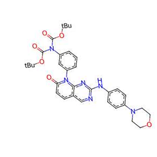 CC(C)(C)OC(=O)N(C(=O)OC(C)(C)C)c1cccc(-n2c(=O)ccc3cnc(Nc4ccc(N5CCOCC5)cc4)nc32)c1